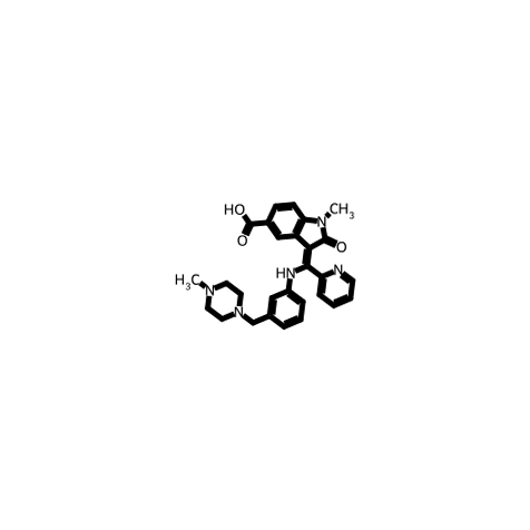 CN1CCN(Cc2cccc(NC(=C3C(=O)N(C)c4ccc(C(=O)O)cc43)c3ccccn3)c2)CC1